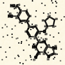 O=C(O)c1ccc(-c2ccc(-c3nc4[nH]cnc4c(=O)[nH]3)c(OC3CCCC3)c2)cc1O